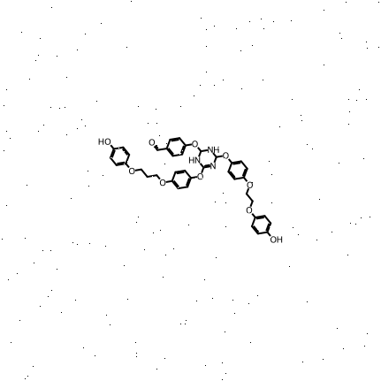 O=Cc1ccc(OC2NC(Oc3ccc(OCCCOc4ccc(O)cc4)cc3)=NC(Oc3ccc(OCCOc4ccc(O)cc4)cc3)N2)cc1